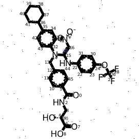 O=C(NC[C@@H](O)C(=O)O)c1ccc(CN(/C(=C\[N+](=O)[O-])Nc2ccc(OC(F)(F)F)cc2)c2ccc(C3CCCCC3)cc2)cc1